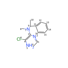 C/C=N\C(=C(/N)Cl)N(C)C(C)c1ccccc1